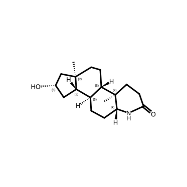 C[C@]12CC[C@H]3[C@@H](CC[C@H]4NC(=O)CC[C@@]43C)[C@@H]1C[C@H](O)C2